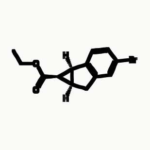 CCOC(=O)[C@@H]1[C@@H]2Cc3cc(Br)ccc3[C@@H]21